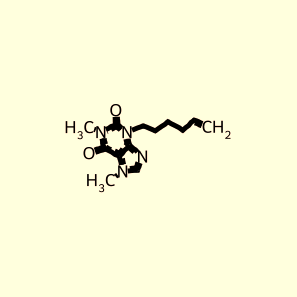 C=CCCCCn1c(=O)n(C)c(=O)c2c1ncn2C